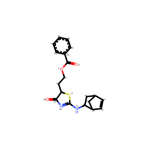 O=C(OCCC1SC(NC2CC3C=CC2C3)=NC1=O)c1ccccc1